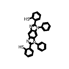 Sc1ccccc1-c1nc2cc3nc(-c4ccccc4S)n(-c4ccccc4)c3cc2n1-c1ccccc1